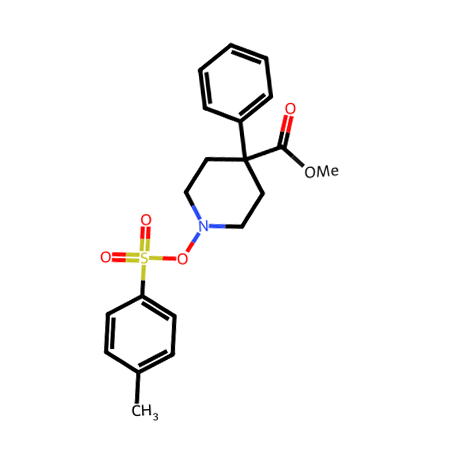 COC(=O)C1(c2ccccc2)CCN(OS(=O)(=O)c2ccc(C)cc2)CC1